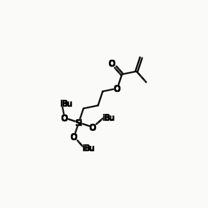 C=C(C)C(=O)OCCC[Si](OC(C)CC)(OC(C)CC)OC(C)CC